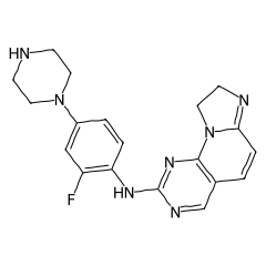 Fc1cc(N2CCNCC2)ccc1Nc1ncc2c(n1)N1CCN=C1C=C2